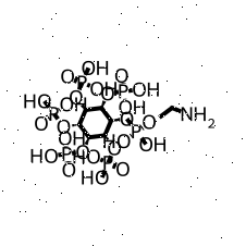 CCN.O=P(O)(O)O[C@H]1[C@H](OP(=O)(O)O)[C@@H](OP(=O)(O)O)[C@H](OP(=O)(O)O)[C@@H](OP(=O)(O)O)[C@H]1OP(=O)(O)O